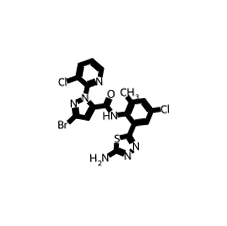 Cc1cc(Cl)cc(-c2nnc(N)s2)c1NC(=O)c1cc(Br)nn1-c1ncccc1Cl